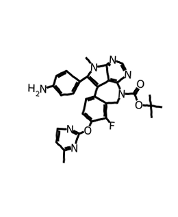 Cc1ccnc(Oc2ccc3c(c2F)CN(C(=O)OC(C)(C)C)c2ncnc4c2c-3c(-c2ccc(N)cc2)n4C)n1